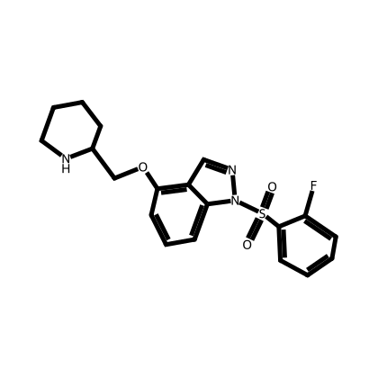 O=S(=O)(c1ccccc1F)n1ncc2c(OCC3CCCCN3)cccc21